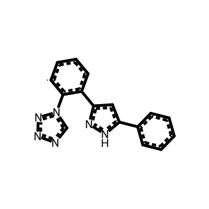 [c]1cccc(-c2cc(-c3ccccc3)[nH]n2)c1-n1cnnn1